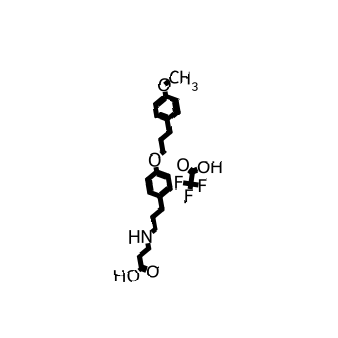 COc1ccc(CCCOc2ccc(CCCNCCC(=O)O)cc2)cc1.O=C(O)C(F)(F)F